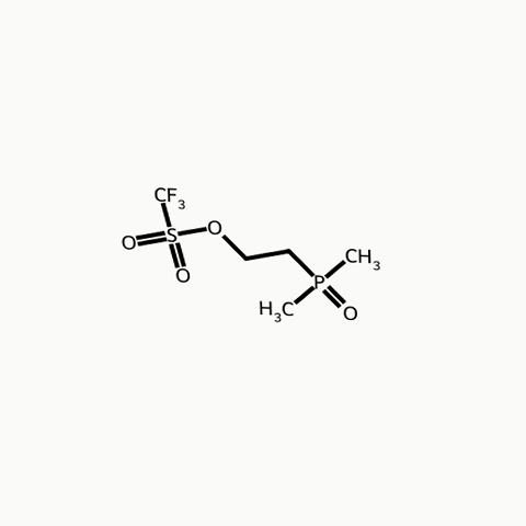 CP(C)(=O)CCOS(=O)(=O)C(F)(F)F